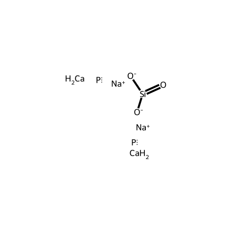 O=[Si]([O-])[O-].[CaH2].[CaH2].[Na+].[Na+].[P].[P]